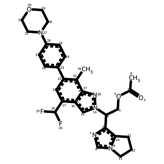 CC(=O)OCC(c1ncn2c1CCC2)n1cc2c(C(F)F)cc(-c3ccc(N4CCOCC4)cc3)c(C)c2n1